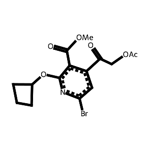 COC(=O)c1c(C(=O)COC(C)=O)cc(Br)nc1OC1CCC1